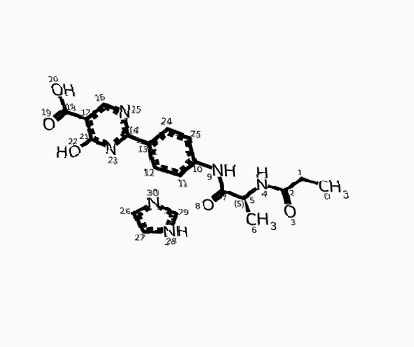 CCC(=O)N[C@@H](C)C(=O)Nc1ccc(-c2ncc(C(=O)O)c(O)n2)cc1.c1c[nH]cn1